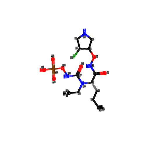 CCC[C@@H](C(=O)NOC1CNCC1F)N(CC)C(=O)NOS(=O)(=O)O